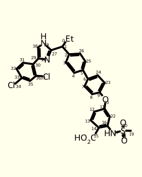 CCC(c1ccc(-c2ccc(Oc3ccc(C(=O)O)c(NS(C)(=O)=O)c3)cc2)cc1)c1nc(-c2ccc(Cl)cc2Cl)c[nH]1